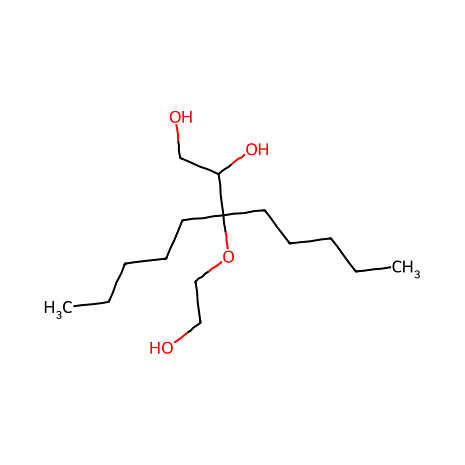 CCCCCC(CCCCC)(OCCO)C(O)CO